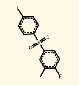 Cc1cc(S(=O)(=O)c2ccc(I)cc2)ccc1F